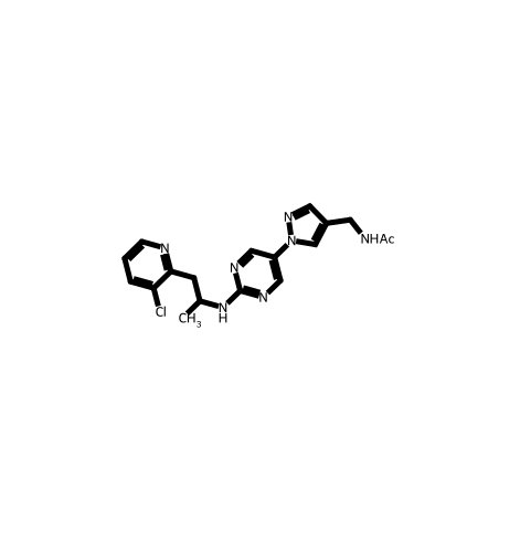 CC(=O)NCc1cnn(-c2cnc(NC(C)Cc3ncccc3Cl)nc2)c1